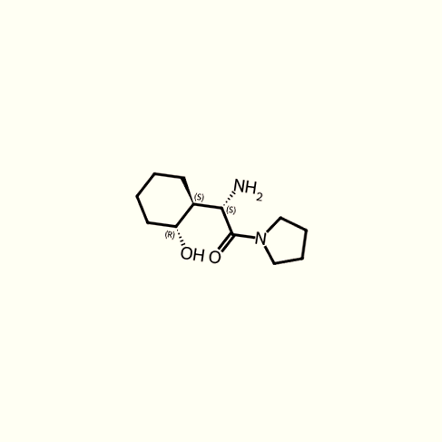 N[C@H](C(=O)N1CCCC1)[C@@H]1CCCC[C@H]1O